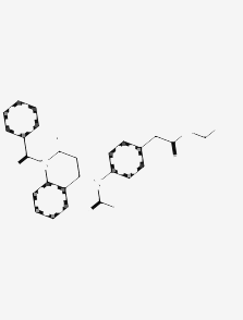 CCOC(=O)Cc1ccc(N(C(C)=O)[C@H]2C[C@@H](C)N(C(=O)c3ccccc3)c3ccccc32)cc1